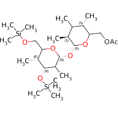 CC(=O)OCC1O[C@H](O[C@H]2OC(CO[Si](C)(C)C)[C@@H](C)[C@@H](O[Si](C)(C)C)C2C)[C@@H](C)C(C)[C@@H]1C